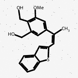 COc1cc(/C(C)=C\c2cc3ccccc3s2)cc(CO)c1CO